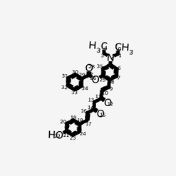 CCN(CC)c1ccc(/C=C/C(=O)CC(=O)/C=C/c2ccc(O)cc2)c(OC(=O)c2ccccc2)c1